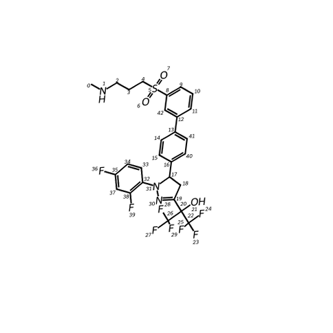 CNCCCS(=O)(=O)c1cccc(-c2ccc(C3CC(C(O)(C(F)(F)F)C(F)(F)F)=NN3c3ccc(F)cc3F)cc2)c1